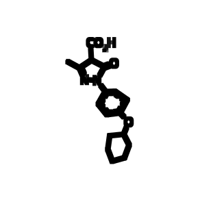 CC1=NN(c2ccc(OC3CCCCC3)cc2)C(=O)C1C(=O)O